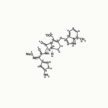 CO/N=C(\C(=O)N[C@@H]1C(=O)N2C(C(=O)[O-])=C(Cc3c[nH][n+]4c(C)cccc34)CS[C@@H]12)c1nsc(N)n1